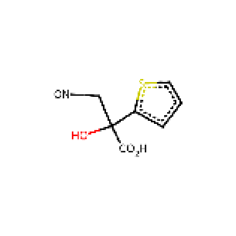 O=NCC(O)(C(=O)O)c1cccs1